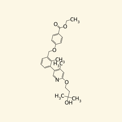 CCOC(=O)c1ccc(OCc2cccc(-c3cnc(OCCC(C)(C)O)cc3C)c2C)cc1